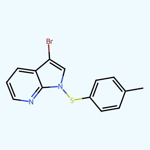 Cc1ccc(Sn2cc(Br)c3cccnc32)cc1